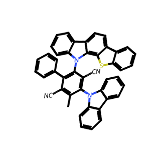 Cc1c(C#N)c(-c2ccccc2)c(-n2c3ccccc3c3ccc4c5ccccc5sc4c32)c(C#N)c1-n1c2ccccc2c2ccccc21